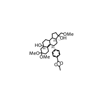 COC[C@]1(O)CCC2C3CC[C@@]4(O)CC(OC)(OC)CCC4=C3[C@@H](c3ccc(C4OC(C)O4)cc3)C[C@@]21C